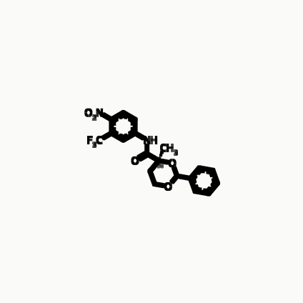 C[C@@]1(C(=O)Nc2ccc([N+](=O)[O-])c(C(F)(F)F)c2)CCOC(c2ccccc2)O1